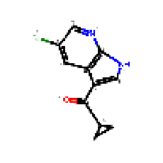 O=C(c1c[nH]c2ncc(Br)cc12)C1CC1